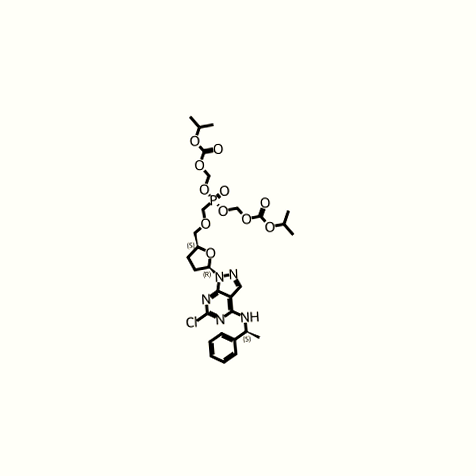 CC(C)OC(=O)OCOP(=O)(COC[C@@H]1CC[C@H](n2ncc3c(N[C@@H](C)c4ccccc4)nc(Cl)nc32)O1)OCOC(=O)OC(C)C